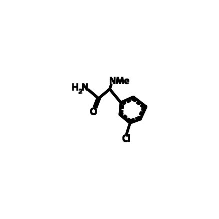 CNC(C(N)=O)c1cccc(Cl)c1